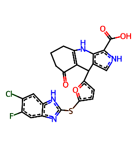 O=C1CCCC2=C1C(c1ccc(Sc3nc4cc(F)c(Cl)cc4[nH]3)o1)c1c[nH]c(C(=O)O)c1N2